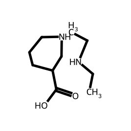 CCNCC.O=C(O)C1CCCNC1